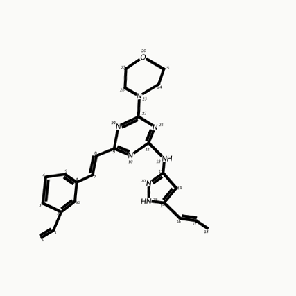 C=Cc1cccc(/C=C/c2nc(Nc3cc(/C=C/C)[nH]n3)nc(N3CCOCC3)n2)c1